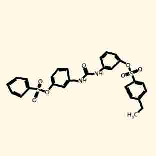 CCc1ccc(S(=O)(=O)Oc2cccc(NC(=O)Nc3cccc(OS(=O)(=O)c4ccccc4)c3)c2)cc1